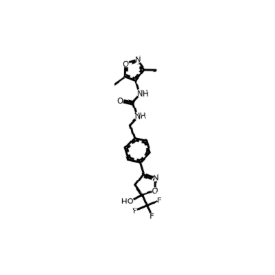 Cc1noc(C)c1NC(=O)NCc1ccc(C2=NOC(O)(C(F)(F)F)C2)cc1